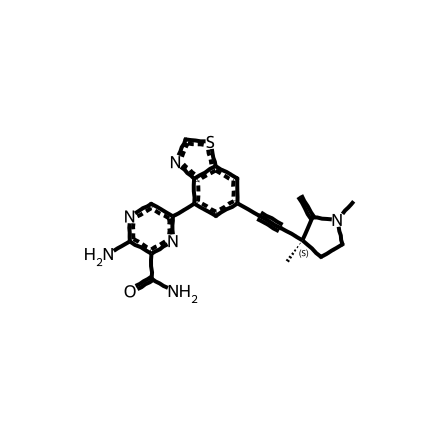 C=C1N(C)CC[C@@]1(C)C#Cc1cc(-c2cnc(N)c(C(N)=O)n2)c2ncsc2c1